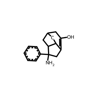 NC1(c2ccccc2)CC2=C(O)CC3CC2C1C3